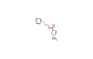 C[C@H]1C=CC(C(=O)OCCSc2ccccc2)C1